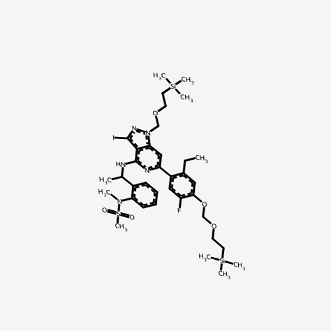 CCc1cc(OCOCC[Si](C)(C)C)c(F)cc1-c1cc2c(c(I)nn2COCC[Si](C)(C)C)c(NC(C)c2ccccc2N(C)S(C)(=O)=O)n1